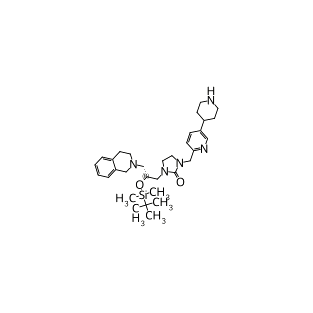 CC(C)(C)[Si](C)(C)O[C@H](CN1CCc2ccccc2C1)CN1CCN(Cc2ccc(C3CCNCC3)cn2)C1=O